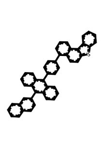 c1ccc2cc(-c3c4ccccc4c(-c4ccc(-c5cccc6c5ccc5sc7ccccc7c56)cc4)c4ccccc34)ccc2c1